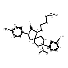 COCCCCN1C(=O)N(c2cnc(C#N)nc2)C[C@]12CC[C@](c1cccc(F)c1)(N(C)C)CC2